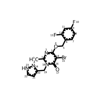 Cc1nc(OCc2ccc(F)cc2F)c(Br)c(=O)n1Cc1cc[nH]n1